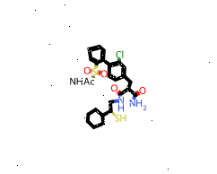 CC(=O)NS(=O)(=O)c1ccccc1-c1ccc(CC(C(N)=O)C(=O)NC[C@@H](S)C2CCCCC2)cc1Cl